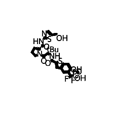 CC(C)(C)C(NC(=O)c1cc2cc(C(F)(F)P(=O)(O)O)ccc2s1)C(=O)N1CCC[C@H]1C(=O)Nc1ncc(CO)s1